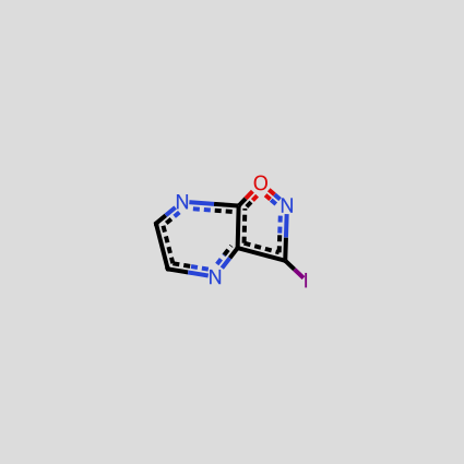 Ic1noc2nccnc12